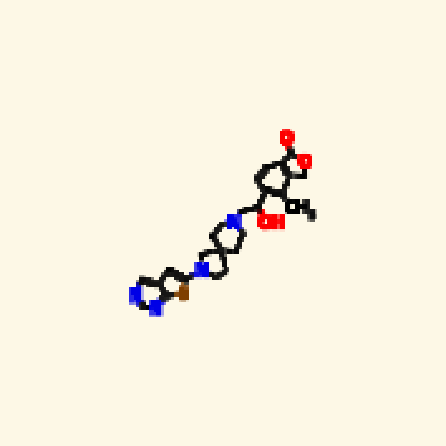 Cc1c([C@@H](O)CN2CCC3(CC2)CCN(c2cc4cncnc4s2)C3)ccc2c1COC2=O